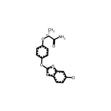 C[C@@H](Oc1ccc(Oc2nc3ccc(Cl)cc3o2)cc1)C(N)=O